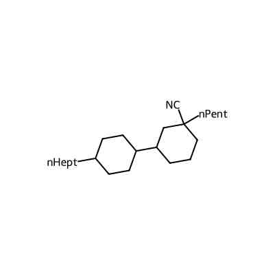 CCCCCCCC1CCC(C2CCCC(C#N)(CCCCC)C2)CC1